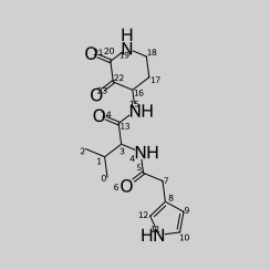 CC(C)C(NC(=O)Cc1cc[nH]c1)C(=O)NC1CCNC(=O)C1=O